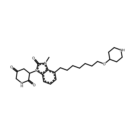 Cn1c(=O)n(C2CC(=O)CNC2=O)c2cccc(CCCCCCCOC3CCNCC3)c21